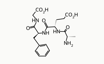 C[C@H](N)C(=O)N[C@@H](CCC(=O)O)C(=O)N[C@@H](Cc1ccccc1)C(=O)NCC(=O)O